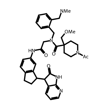 CNCc1ccccc1CN(CC(=O)Nc1ccc2c(c1)C(C1C(=O)Nc3ncccc31)CC2)C(=O)C1(COC)CCN(C(C)=O)CC1